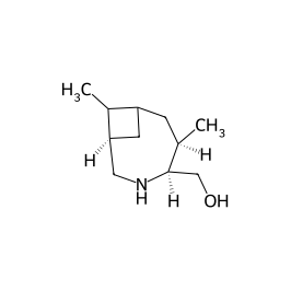 CC1C2C[C@H]1CN[C@H](CO)[C@H](C)C2